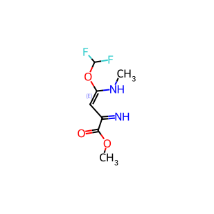 CN/C(=C\C(=N)C(=O)OC)OC(F)F